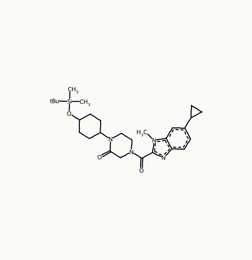 Cn1c(C(=O)N2CCN(C3CCC(O[Si](C)(C)C(C)(C)C)CC3)C(=O)C2)nc2ccc(C3CC3)cc21